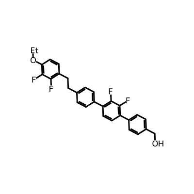 CCOc1ccc(CCc2ccc(-c3ccc(-c4ccc(CO)cc4)c(F)c3F)cc2)c(F)c1F